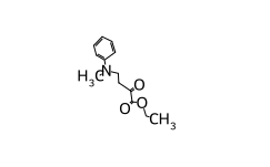 CCOC(=O)C(=O)CCN(C)c1ccccc1